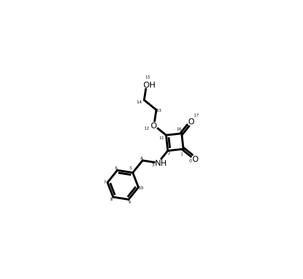 O=c1c(NCc2ccccc2)c(OCCO)c1=O